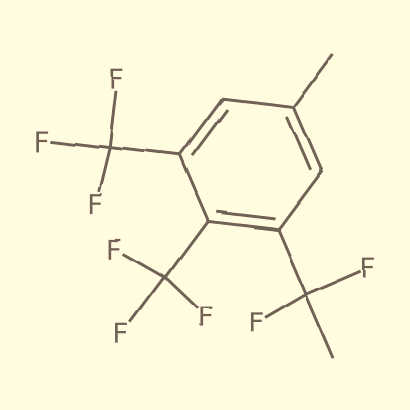 Cc1cc(C(C)(F)F)c(C(F)(F)F)c(C(F)(F)F)c1